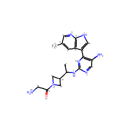 CC(Nc1ncc(N)c(-c2c[nH]c3ncc(C(F)(F)F)cc23)n1)C1CN(C(=O)CN)C1